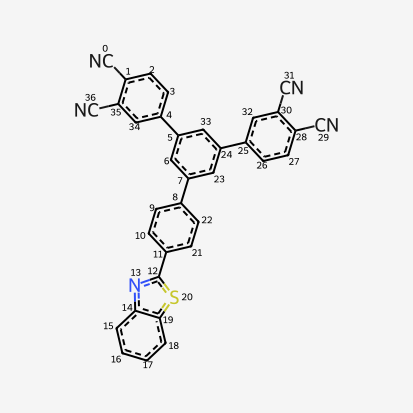 N#Cc1ccc(-c2cc(-c3ccc(-c4nc5ccccc5s4)cc3)cc(-c3ccc(C#N)c(C#N)c3)c2)cc1C#N